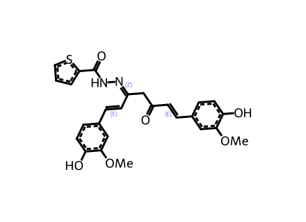 COc1cc(/C=C/C(=O)CC(/C=C/c2ccc(O)c(OC)c2)=N/NC(=O)c2cccs2)ccc1O